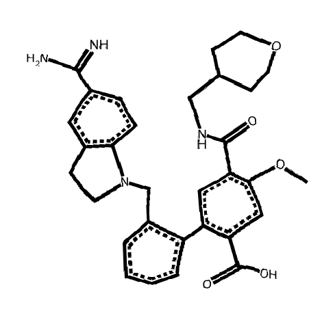 COc1cc(C(=O)O)c(-c2ccccc2CN2CCc3cc(C(=N)N)ccc32)cc1C(=O)NCC1CCOCC1